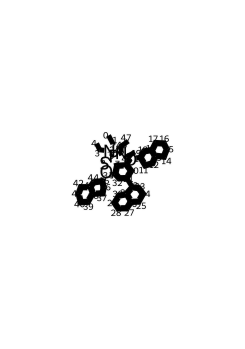 CCN(CC)P(=S)(c1c(Oc2ccc3ccccc3c2)cc(-c2cccc3ccccc23)cc1Oc1ccc2ccccc2c1)N(CC)CC